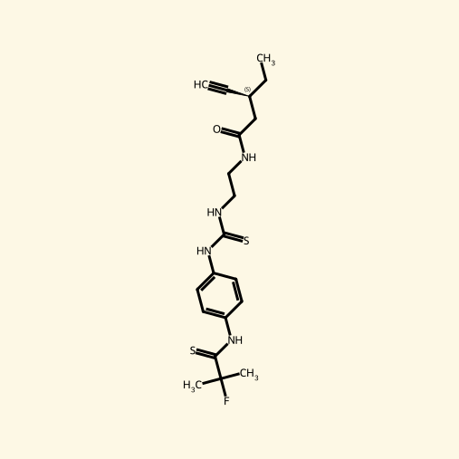 C#C[C@@H](CC)CC(=O)NCCNC(=S)Nc1ccc(NC(=S)C(C)(C)F)cc1